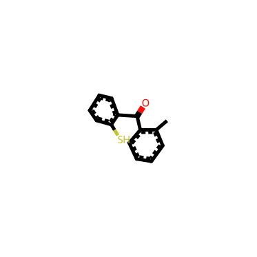 Cc1ccccc1C(=O)c1ccccc1S